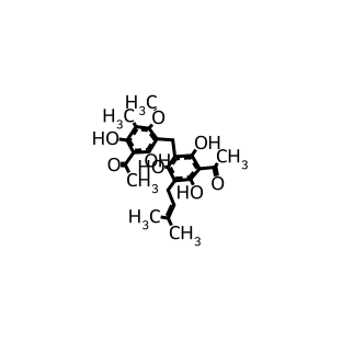 COc1c(C)c(O)c(C(C)=O)c(O)c1Cc1c(O)c(CC=C(C)C)c(O)c(C(C)=O)c1O